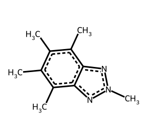 Cc1c(C)c(C)c2nn(C)nc2c1C